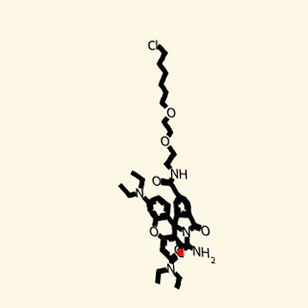 CCN(CC)c1ccc2c(c1)Oc1cc(N(CC)CC)ccc1C21c2cc(C(=O)NCCOCCOCCCCCCCl)ccc2C(=O)N1C(N)=O